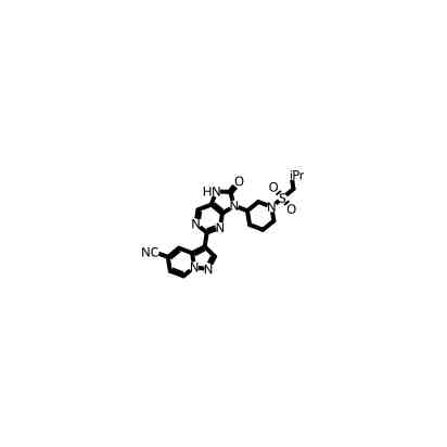 CC(C)CS(=O)(=O)N1CCCC(n2c(=O)[nH]c3cnc(-c4cnn5ccc(C#N)cc45)nc32)C1